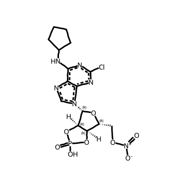 O=[N+]([O-])OC[C@H]1O[C@@H](n2cnc3c(NC4CCCC4)nc(Cl)nc32)[C@@H]2OP(=O)(O)O[C@@H]21